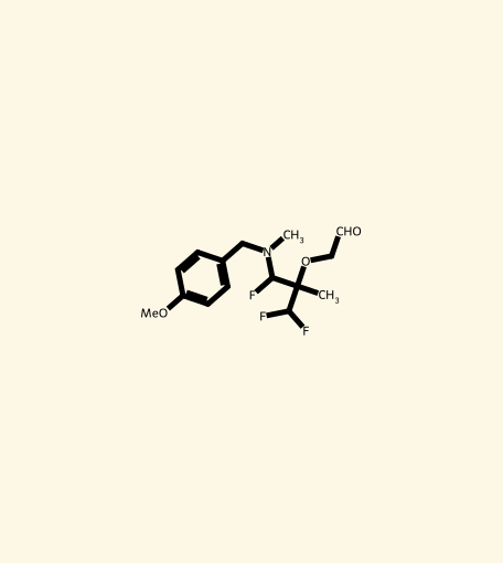 COc1ccc(CN(C)C(F)C(C)(OCC=O)C(F)F)cc1